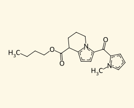 CCCCOC(=O)C1CCCn2c(C(=O)c3cccn3C)ccc21